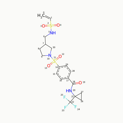 C=CS(=O)(=O)NCC1CCN(S(=O)(=O)c2ccc(C(=O)NC3(C(F)(F)F)CC3)cc2)C1